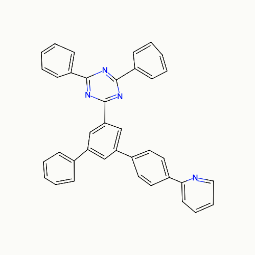 c1ccc(-c2cc(-c3ccc(-c4ccccn4)cc3)cc(-c3nc(-c4ccccc4)nc(-c4ccccc4)n3)c2)cc1